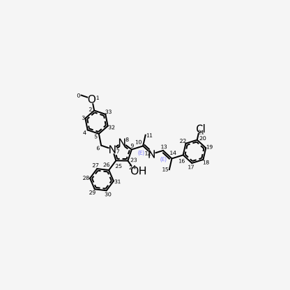 COc1ccc(Cn2nc(/C(C)=N/C=C(\C)c3cccc(Cl)c3)c(O)c2-c2ccccc2)cc1